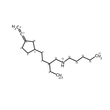 C=C=C1CCC(CCC(CC)CNCCCCC)C1